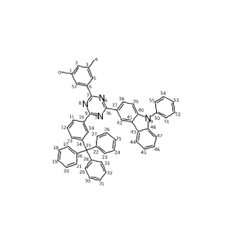 Cc1cc(C)cc(-c2nc(-c3cccc(C(c4ccccc4)(c4ccccc4)c4ccccc4)c3)nc(-c3ccc4c(c3)c3ccccc3n4-c3ccccc3)n2)c1